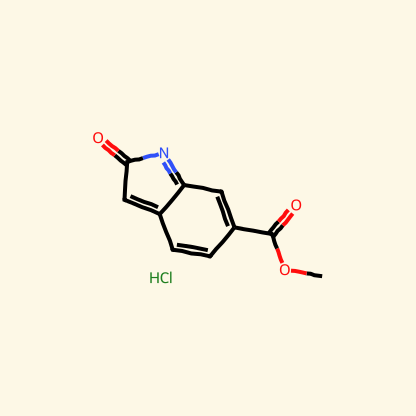 COC(=O)c1ccc2c(c1)=NC(=O)C=2.Cl